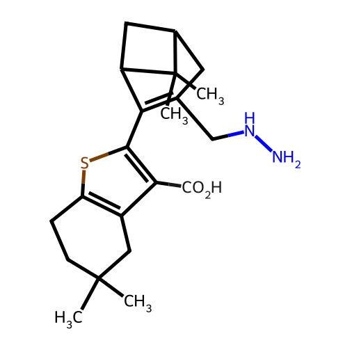 CC1(C)CCc2sc(C3=C(CNN)CC4CC3C4(C)C)c(C(=O)O)c2C1